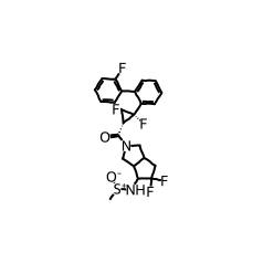 C[S+]([O-])NC1C2CN(C(=O)[C@@H]3C[C@@]3(F)c3ccccc3-c3c(F)cccc3F)CC2CC1(F)F